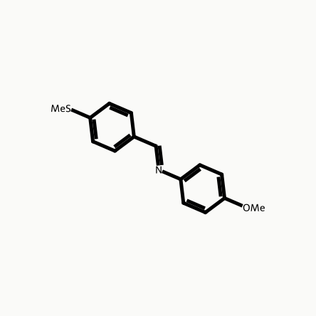 COc1ccc(/N=C/c2ccc(SC)cc2)cc1